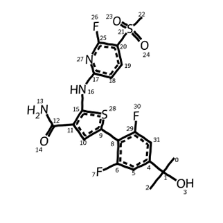 CC(C)(O)c1cc(F)c(-c2cc(C(N)=O)c(Nc3ccc(S(C)(=O)=O)c(F)n3)s2)c(F)c1